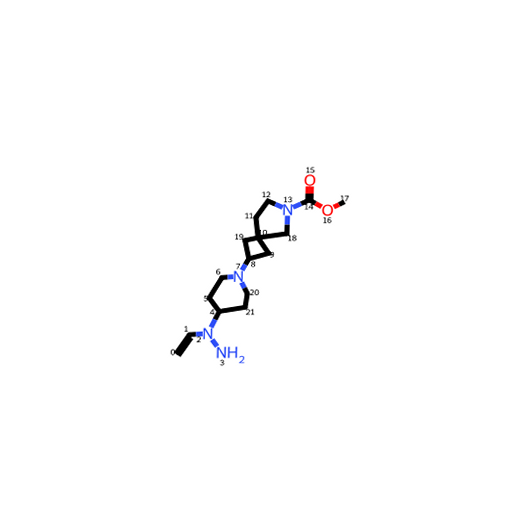 C=CN(N)C1CCN(C2CC3(CCN(C(=O)OC)C3)C2)CC1